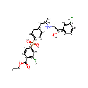 CCOC(=O)c1ccc(S(=O)(=O)c2ccc(C[C@@H](C)NC[C@@H](O)c3cccc(Cl)c3)cc2)cc1F